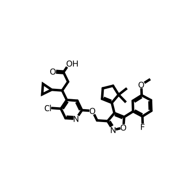 COc1ccc(F)c(-c2onc(COc3cc(C(CC(=O)O)C4CC4)c(Cl)cn3)c2C2=CCCC2(C)C)c1